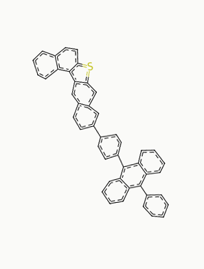 c1ccc(-c2c3ccccc3c(-c3ccc(-c4ccc5cc6c(cc5c4)sc4ccc5ccccc5c46)cc3)c3ccccc23)cc1